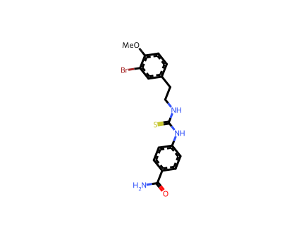 COc1ccc(CCNC(=S)Nc2ccc(C(N)=O)cc2)cc1Br